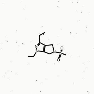 CCc1nn(CC)c2c1CN(S(C)(=O)=O)C2